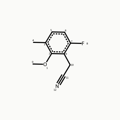 COc1c(C)ccc(F)c1CC#N